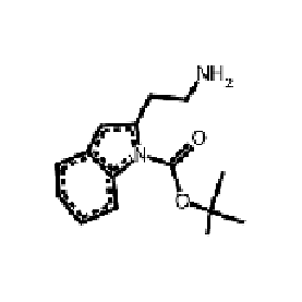 CC(C)(C)OC(=O)n1c(CCN)cc2ccccc21